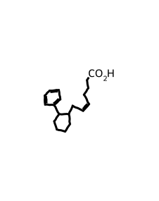 O=C(O)CCC/C=C\CC1CCCCC1c1ccccc1